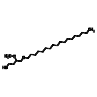 CCCCCCCCCCCCCCCCCCOCC(CCO)OC